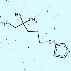 CCCCC(C)(S)CC.c1ccsc1